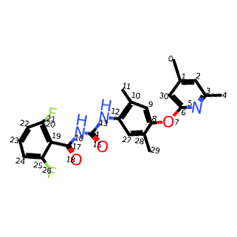 Cc1cc(C)nc(Oc2cc(C)c(NC(=O)NC(=O)c3c(F)cccc3F)cc2C)c1